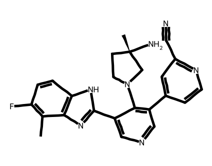 Cc1c(F)ccc2[nH]c(-c3cncc(-c4ccnc(C#N)c4)c3N3CC[C@](C)(N)C3)nc12